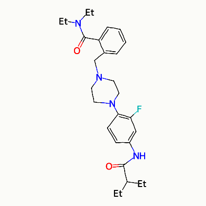 CCC(CC)C(=O)Nc1ccc(N2CCN(Cc3ccccc3C(=O)N(CC)CC)CC2)c(F)c1